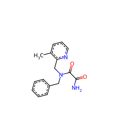 Cc1cccnc1CN(Cc1ccccc1)C(=O)C(N)=O